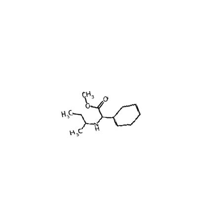 CCC(C)NC(C(=O)OC)C1CCCCC1